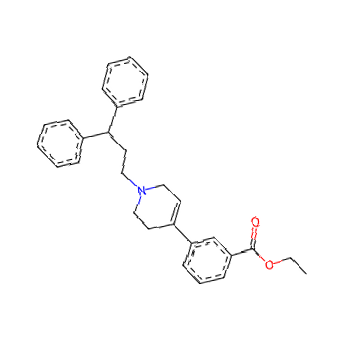 CCOC(=O)c1cccc(C2=CCN(CCC(c3ccccc3)c3ccccc3)CC2)c1